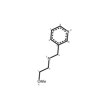 COCC[N]Cc1cccnc1